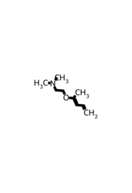 C=C/C=C(\C)OCCN(C)C